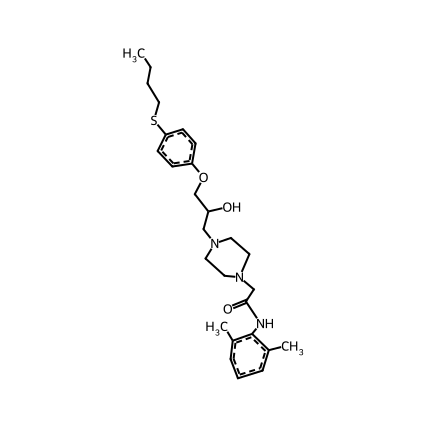 CCCCSc1ccc(OCC(O)CN2CCN(CC(=O)Nc3c(C)cccc3C)CC2)cc1